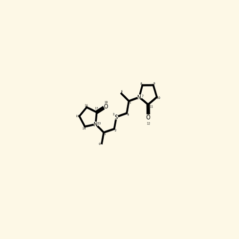 CC(CSCC(C)N1CCCC1=O)N1CCCC1=O